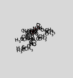 C[Si](C)(C)CCOCn1c(-c2nn(COCC[Si](C)(C)C)c3ccccc23)nc2c1C(Br)N(C1(C(=O)C3(N4Cc5nc(-c6nn(COCC[Si](C)(C)C)c7ccccc67)n(COCC[Si](C)(C)C)c5C4Br)C=NC(N4CCCCC4)=CN3)C=NC(N3CCCCC3)=CN1)C2